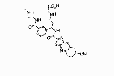 CN1CC(NC(=O)c2cccc([C@@H](CCNCC(=O)O)NC(=O)c3nc4cc5c(nc4s3)CC[C@H](C(C)(C)C)C5)c2)C1